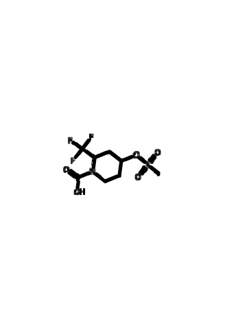 CS(=O)(=O)OC1CCN(C(=O)O)C(C(F)(F)F)C1